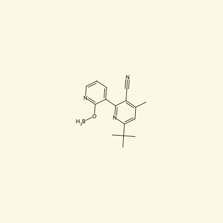 BOc1ncccc1-c1nc(C(C)(C)C)cc(C)c1C#N